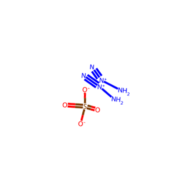 N#[N+]N.N#[N+]N.O=S(=O)([O-])[O-]